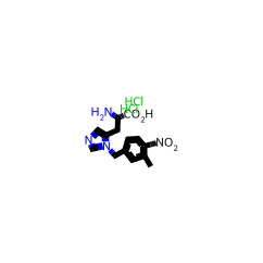 Cc1cc(Cn2cncc2CC(N)C(=O)O)ccc1[N+](=O)[O-].Cl.Cl